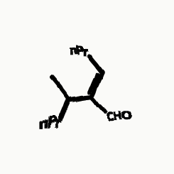 CCCC=C(C=O)C(C)CCC